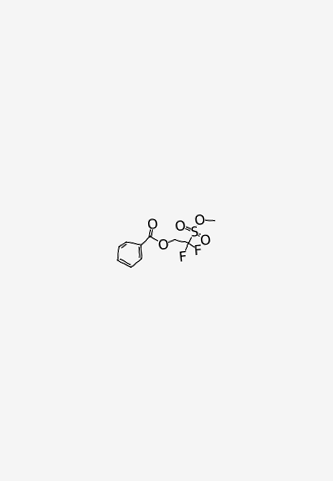 COS(=O)(=O)C(F)(F)COC(=O)c1ccccc1